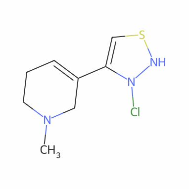 CN1CCC=C(C2=CSNN2Cl)C1